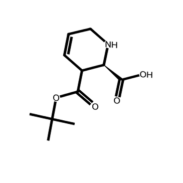 CC(C)(C)OC(=O)C1C=CCN[C@H]1C(=O)O